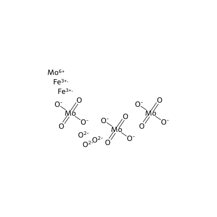 [Fe+3].[Fe+3].[Mo+6].[O-2].[O-2].[O-2].[O]=[Mo](=[O])([O-])[O-].[O]=[Mo](=[O])([O-])[O-].[O]=[Mo](=[O])([O-])[O-]